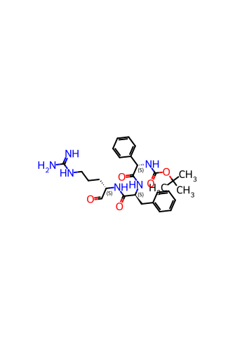 CC(C)(C)OC(=O)N[C@H](C(=O)N[C@@H](Cc1ccccc1)C(=O)N[C@H](C=O)CCCNC(=N)N)c1ccccc1